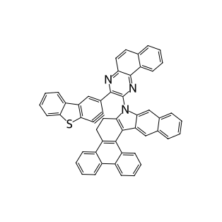 c1c(-c2nc3ccc4ccccc4c3nc2-n2c3c(c4cc5ccccc5cc42)-c2c(c4ccccc4c4ccccc24)CC3)cc2c(c#1)sc1ccccc12